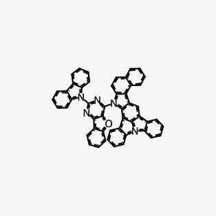 c1ccc2c(c1)ccc1c2c2cc3c4ccccc4n4c5ccccc5c(c2n1-c1nc(-n2c5ccccc5c5ccccc52)nc2c1oc1ccccc12)c34